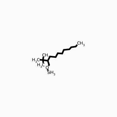 CCCCCCCCCC(CO[SiH3])C(C)(C)C